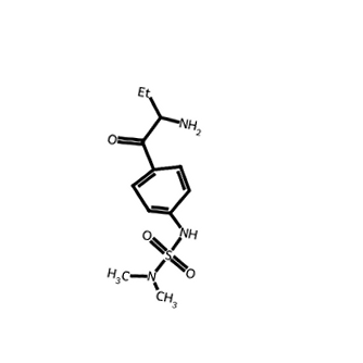 CCC(N)C(=O)c1ccc(NS(=O)(=O)N(C)C)cc1